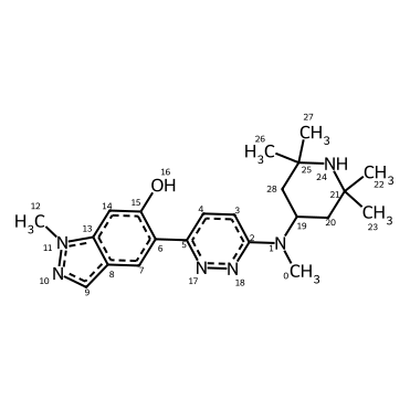 CN(c1ccc(-c2cc3cnn(C)c3cc2O)nn1)C1CC(C)(C)NC(C)(C)C1